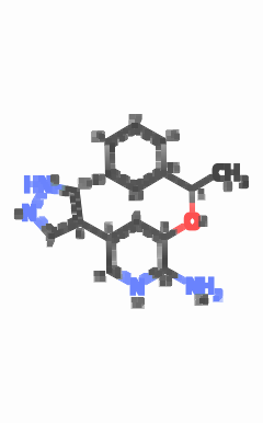 CC(Oc1cc(-c2cn[nH]c2)cnc1N)c1ccccc1